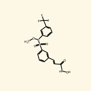 CON(c1cccc(C(F)(F)F)c1)S(=O)(=O)c1cccc(C=CC(=O)NO)c1